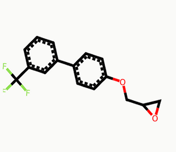 FC(F)(F)c1cccc(-c2ccc(OCC3CO3)cc2)c1